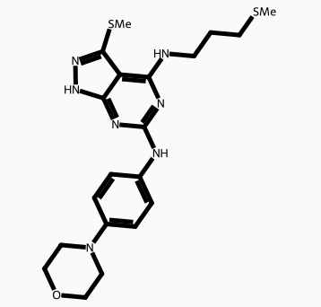 CSCCCNc1nc(Nc2ccc(N3CCOCC3)cc2)nc2[nH]nc(SC)c12